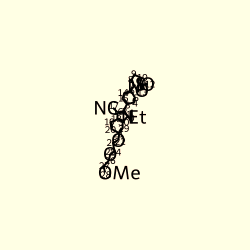 CCn1c(-c2ccc(N3CCCS3(=O)=O)cc2)c(C#N)c2ccc(OCCOCCOC)cc21